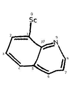 [Sc][c]1cccc2cccnc12